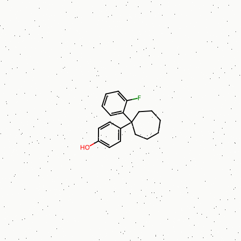 Oc1ccc(C2(c3ccccc3F)CCCCCC2)cc1